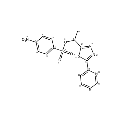 CC(OS(=O)(=O)c1ccc([N+](=O)[O-])cc1)c1nnc(-c2ccccn2)s1